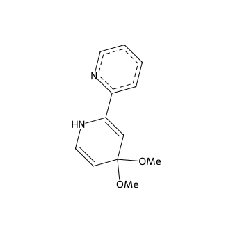 COC1(OC)C=CNC(c2ccccn2)=C1